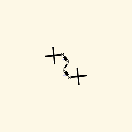 CC(C)(C)/N=N\N=N/C(C)(C)C